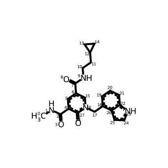 CNC(=O)c1cc(C(=O)NCCC2CC2)cn(Cc2cccc3[nH]ccc23)c1=O